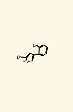 Clc1ccccc1-c1[c][nH]c(Br)c1